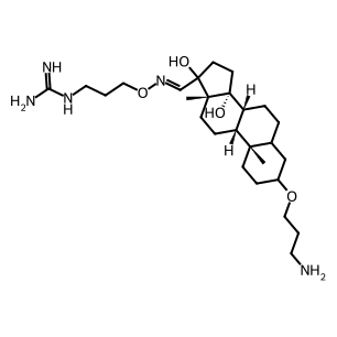 C[C@]12CCC(OCCCN)CC1CC[C@@H]1[C@H]2CC[C@]2(C)C(O)(/C=N/OCCCNC(=N)N)CC[C@@]12O